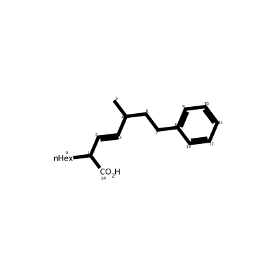 CCCCCCC(/C=C/C(C)CCc1ccccc1)C(=O)O